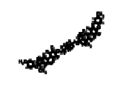 CCC(CC)(OCC(F)(F)C(F)(F)C(F)(F)C(F)(F)COc1c(F)c(F)c(-c2c(F)c(F)c(C(CC)(CC)Oc3ccc(C)cc3)c(F)c2F)c(F)c1F)c1c(F)c(F)c(-c2c(F)c(F)c(Oc3ccc(C)cc3)c(F)c2F)c(F)c1F